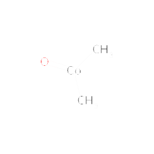 [CH3][Co]([CH3])=[O]